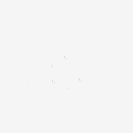 Cc1c2c3c4c5c1-n1c6cccc(C(C)(C)C)c6c6c(C(C)(C)C)ccc(c61)B5c1ccc(C(C)(C)C)c5c6c(C(C)(C)C)ccc(c6n-4c15)B3c1ccc(C(C)(C)C)c3c4c(C(C)(C)C)cccc4n-2c13